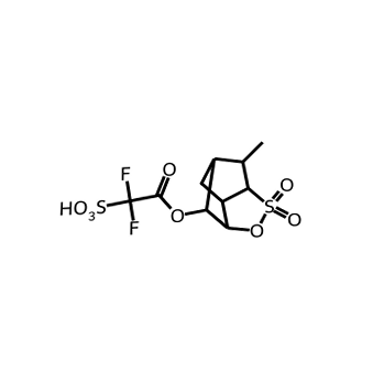 CC1C2CC3C(OS(=O)(=O)C13)C2OC(=O)C(F)(F)S(=O)(=O)O